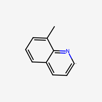 Cc1cccc2cc[c]nc12